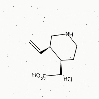 C=C[C@H]1CNCC[C@H]1CC(=O)O.Cl